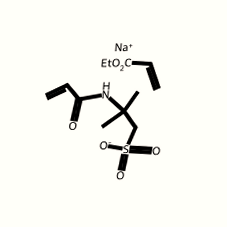 C=CC(=O)NC(C)(C)CS(=O)(=O)[O-].C=CC(=O)OCC.[Na+]